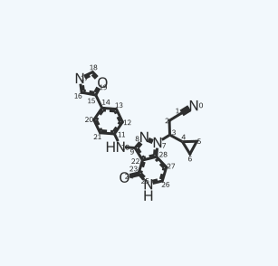 N#CCC(C1CC1)n1nc(Nc2ccc(-c3cnco3)cc2)c2c(=O)[nH]ccc21